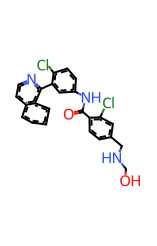 O=C(Nc1ccc(Cl)c(-c2nccc3ccccc23)c1)c1ccc(CNCO)cc1Cl